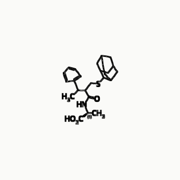 CC(c1ccccc1)C(CSC1C2CC3CC(C2)CC1C3)C(=O)N[C@@H](C)C(=O)O